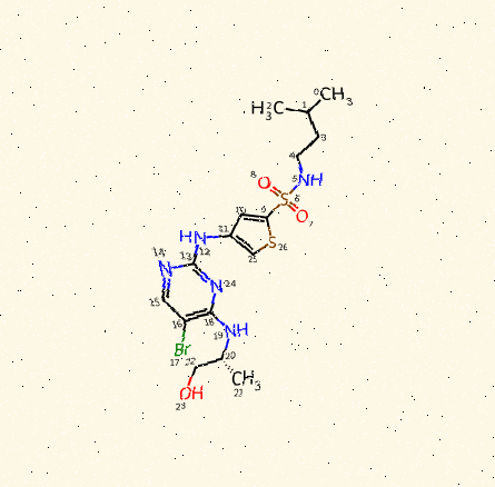 CC(C)CCNS(=O)(=O)c1cc(Nc2ncc(Br)c(N[C@H](C)CO)n2)cs1